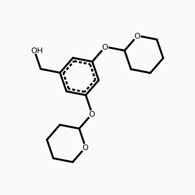 OCc1cc(OC2CCCCO2)cc(OC2CCCCO2)c1